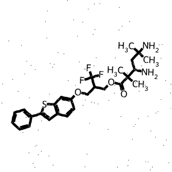 CC(C)(N)CC(N)C(C)(C)C(=O)OCC(COc1ccc2cc(-c3ccccc3)sc2c1)C(F)(F)F